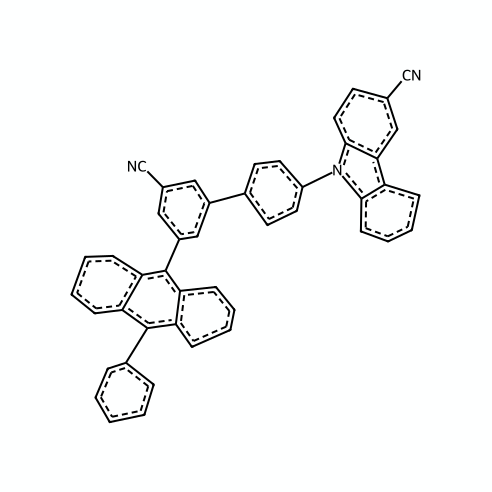 N#Cc1cc(-c2ccc(-n3c4ccccc4c4cc(C#N)ccc43)cc2)cc(-c2c3ccccc3c(-c3ccccc3)c3ccccc23)c1